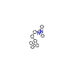 c1ccc(-c2cc(-c3cccc(-c4cccc(-c5ccc6c(c5)C(c5ccccc5)(c5ccccc5)c5ccccc5-6)c4)c3)nc(-c3ccccc3)n2)cc1